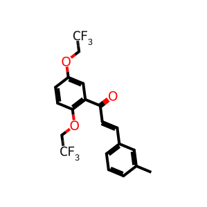 Cc1cccc(/C=C/C(=O)c2cc(OCC(F)(F)F)ccc2OCC(F)(F)F)c1